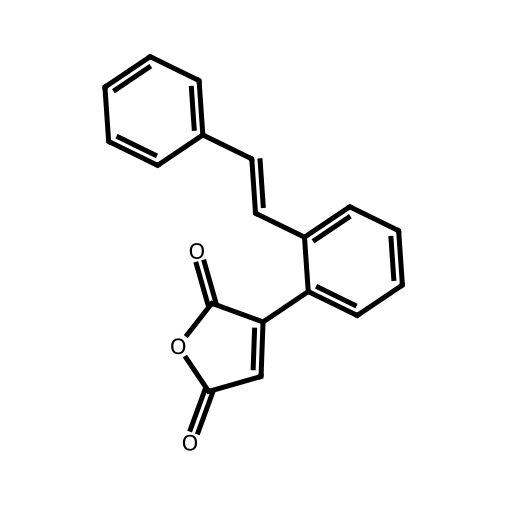 O=C1C=C(c2ccccc2C=Cc2ccccc2)C(=O)O1